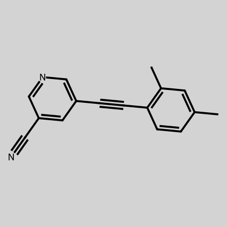 Cc1ccc(C#Cc2cncc(C#N)c2)c(C)c1